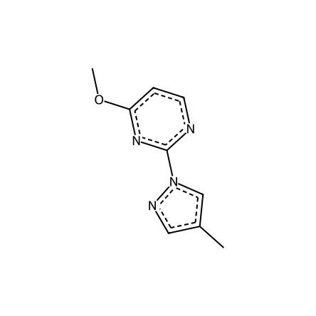 COc1ccnc(-n2cc(C)cn2)n1